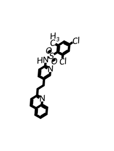 Cc1cc(Cl)cc(Cl)c1S(=O)(=O)Nc1ccc(CCc2ccc3ccccc3n2)cn1